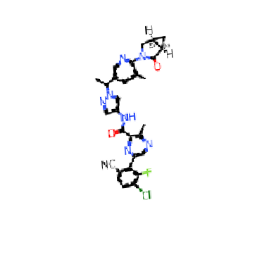 Cc1cc(C(C)n2cc(NC(=O)c3nc(-c4c(C#N)ccc(Cl)c4F)cnc3C)cn2)cnc1N1C[C@H]2C[C@H]2C1=O